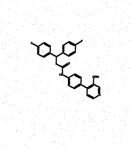 COc1cnccc1-c1ccc(NC(=O)[CH]C(c2ccc(F)cc2)c2ccc(F)cc2)cc1